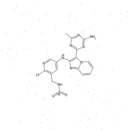 Cc1nc(N)nc(-c2c(Nc3cnc(Cl)c(CN[SH](=O)=O)c3)nc3ccccn23)n1